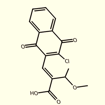 COC(C)/C(=C\C1=C(Cl)C(=O)c2ccccc2C1=O)C(=O)O